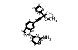 COC(C)(C#Cc1ccc2cnn(-c3ccnc(N)n3)c2c1)c1nccs1